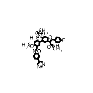 CNC(=O)c1c(-c2ccc(F)cc2)oc2cc(N(C)S(C)(=O)=O)c(-c3ccc(OC)c(-c4nc5ccc(-c6cncnc6)cc5o4)c3)cc12